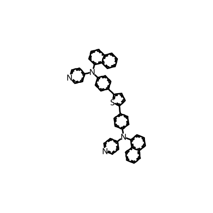 c1ccc2c(N(c3ccncc3)c3ccc(-c4ccc(-c5ccc(N(c6ccncc6)c6cccc7ccccc67)cc5)s4)cc3)cccc2c1